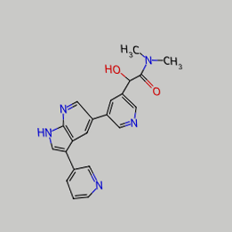 CN(C)C(=O)C(O)c1cncc(-c2cnc3[nH]cc(-c4cccnc4)c3c2)c1